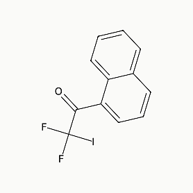 O=C(c1cccc2ccccc12)C(F)(F)I